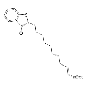 CCCCCCCCC=CCCCCCCCCN1Sc2ccccc2[S+]1[O-]